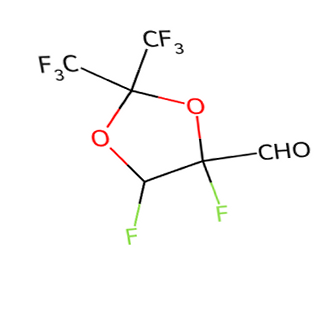 O=CC1(F)OC(C(F)(F)F)(C(F)(F)F)OC1F